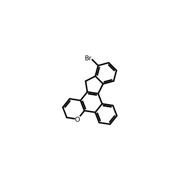 Brc1cccc2c1Cc1c3c(c4ccccc4c1-2)OCC=C3